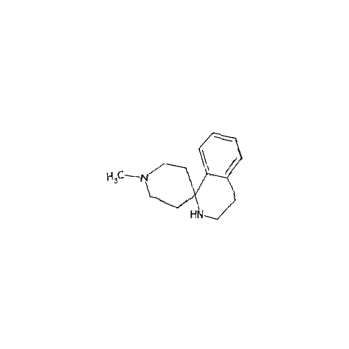 CN1CCC2(CC1)NCCc1ccccc12